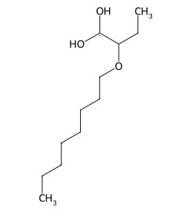 CCCCCCCCOC(CC)[C](O)O